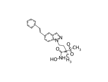 C[C@@](CCn1ncc2cc(C=Cc3ccccc3)ccc21)(C(=O)NO)S(C)(=O)=O